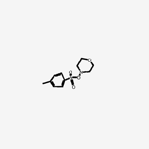 Cc1ccc(S(=O)(=O)ON2CCOCC2)cc1